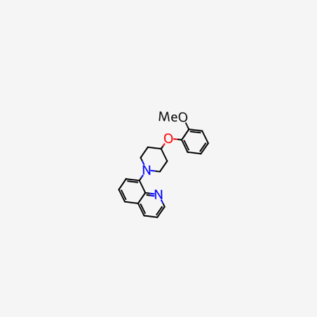 COc1ccccc1OC1CCN(c2cccc3cccnc23)CC1